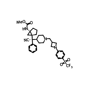 COC(=O)N[C@]12CCC[C@@]1([C@](C#N)(c1ccccc1)C1CCN(CC3CN(c4ccc(S(=O)(=O)C(F)(F)F)cc4)C3)CC1)C2